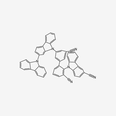 N#Cc1cc(-c2cccc(C#N)c2-n2c3ccccc3c3cc(C#N)ccc32)cc(-n2c3ccccc3c3ccc(-n4c5ccccc5c5ccccc54)cc32)c1